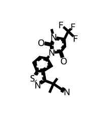 Cn1c(C(F)(F)F)cc(=O)n(-c2ccc3snc(C(C)(C)C#N)c3c2)c1=O